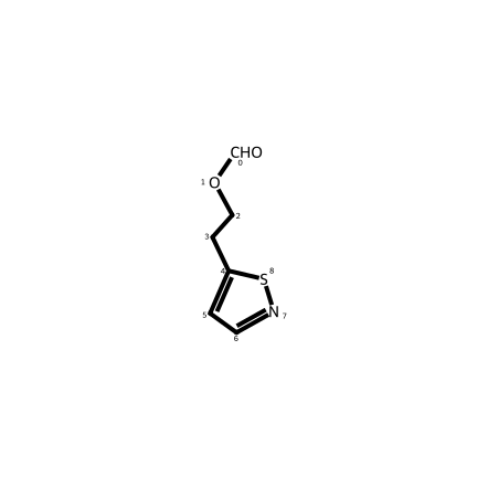 O=COCCc1ccns1